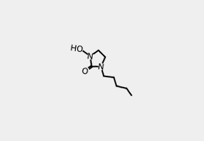 CCCCCN1CCN(O)C1=O